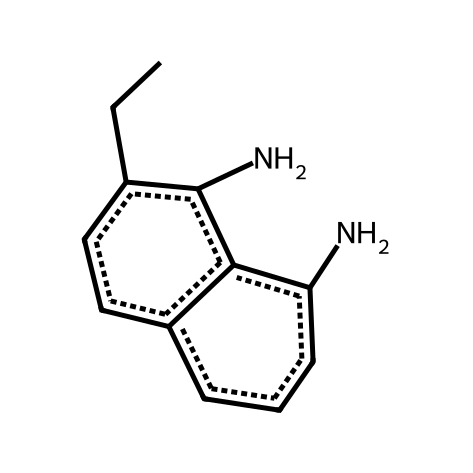 CCc1ccc2cccc(N)c2c1N